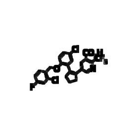 O=C(O)c1cc(C2=C(c3cc(Cl)ccc3OCc3ccc(F)cc3Cl)CCC2)cnc1C(F)(F)F